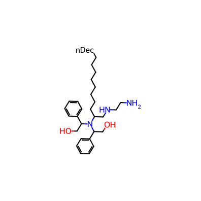 CCCCCCCCCCCCCCCCCCC(CNCCN)N(C(CO)c1ccccc1)C(CO)c1ccccc1